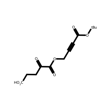 CC(C)(C)OC(=O)C#CCOC(=O)C(=O)CCC(=O)O